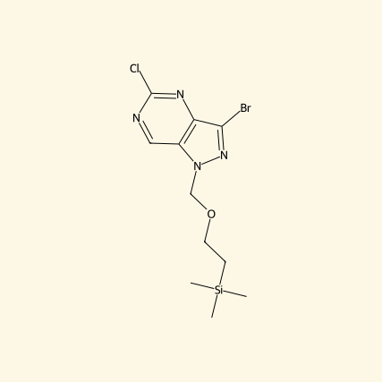 C[Si](C)(C)CCOCn1nc(Br)c2nc(Cl)ncc21